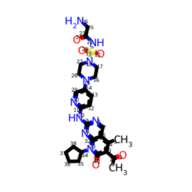 CC(=O)c1c(C)c2cnc(Nc3ccc(N4CCN(S(=O)(=O)NC(=O)CN)CC4)cn3)nc2n(C2CCCC2)c1=O